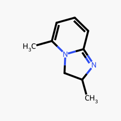 CC1=CC=CC2=NC(C)CN12